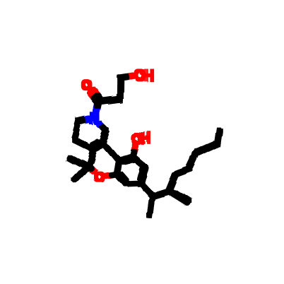 CCCCCC(C)C(C)c1cc(O)c2c(c1)OC(C)(C)C1=C2CN(C(=O)CCO)CC1